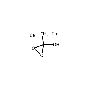 CC1(O)OO1.[Ce].[Co]